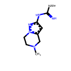 CNC(=N)Nc1cc2n(n1)CCN(C)C2